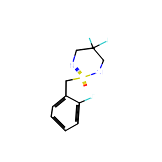 O=S1(Cc2ccccc2F)=NCC(F)(F)CN1